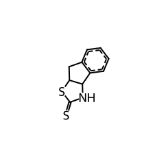 S=C1NC2c3ccccc3CC2S1